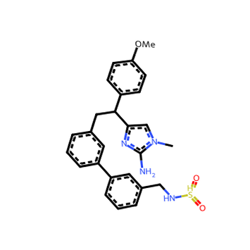 COc1ccc(C(Cc2cccc(-c3cccc(CN[SH](=O)=O)c3)c2)c2cn(C)c(N)n2)cc1